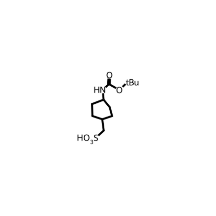 CC(C)(C)OC(=O)NC1CCC(CS(=O)(=O)O)CC1